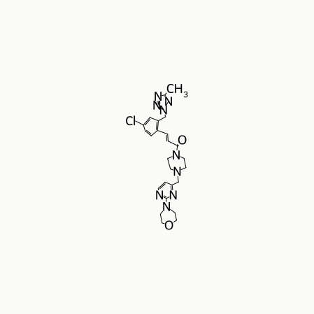 Cc1nnn(Cc2cc(Cl)ccc2C=CC(=O)N2CCN(Cc3ccnc(N4CCOCC4)n3)CC2)n1